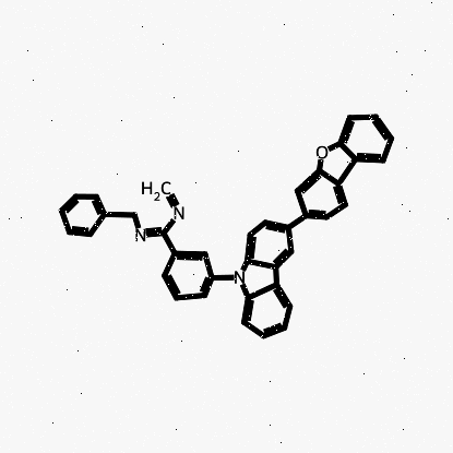 C=N/C(=N\Cc1ccccc1)c1cccc(-n2c3ccccc3c3cc(-c4ccc5c(c4)oc4ccccc45)ccc32)c1